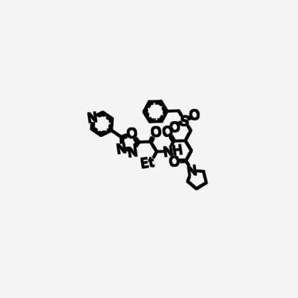 CCC(NC(=O)C(CC(=O)N1CCCC1)CS(=O)(=O)Cc1ccccc1)C(=O)c1nnc(-c2ccncc2)o1